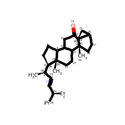 CC[C@H](/C=C/[C@@H](C)[C@H]1CCC2C3CC(=O)[C@]45CC4CC[C@]5(C)C3CC[C@@]21C)C(C)C